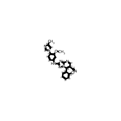 COc1cc(Nc2nc3ncc(C#N)c(-c4ccccc4Cl)n3n2)ccc1-n1cnc(C)c1